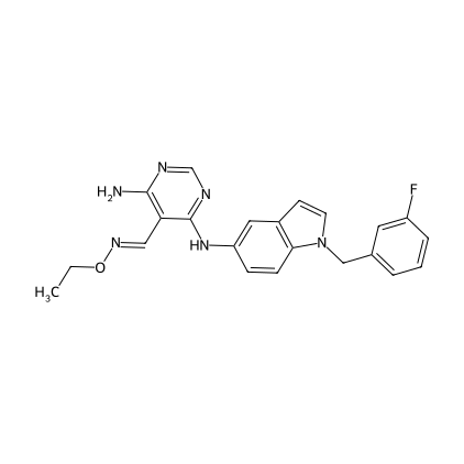 CCO/N=C/c1c(N)ncnc1Nc1ccc2c(ccn2Cc2cccc(F)c2)c1